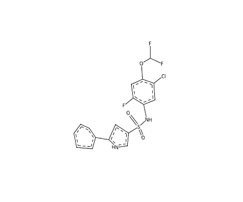 O=S(=O)(Nc1cc(Cl)c(OC(F)F)cc1F)c1c[nH]c(-c2ccccc2)c1